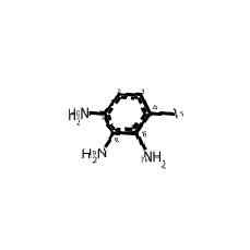 Nc1ccc(I)c(N)c1N